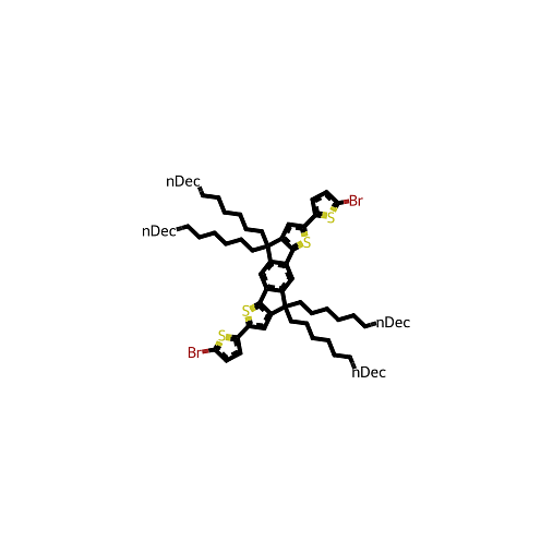 CCCCCCCCCCCCCCCCC1(CCCCCCCCCCCCCCCC)c2cc3c(cc2-c2sc(-c4ccc(Br)s4)cc21)C(CCCCCCCCCCCCCCCC)(CCCCCCCCCCCCCCCC)c1cc(-c2ccc(Br)s2)sc1-3